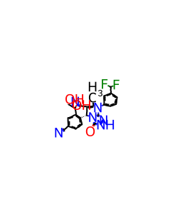 CC1=C(C#N)[C@@H](c2ccc(C#N)cc2C(O)CO)n2c(n[nH]c2=O)N1c1cccc(C(F)F)c1